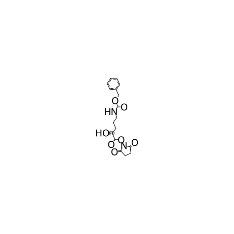 O=C(NCCC[C@@H](O)C(=O)ON1C(=O)CCC1=O)OCc1ccccc1